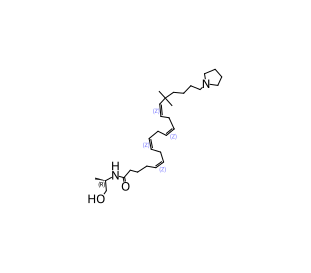 C[C@H](CO)NC(=O)CCC/C=C\C/C=C\C/C=C\C/C=C\C(C)(C)CCCCN1CCCC1